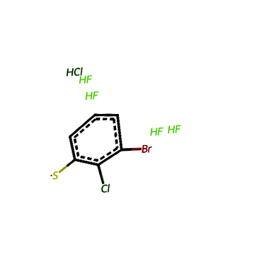 Cl.F.F.F.F.[S]c1cccc(Br)c1Cl